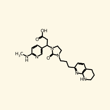 CNc1ccc(C(CC(=O)O)N2CCN(CCCc3ccc4c(n3)NCCC4)C2=O)cn1